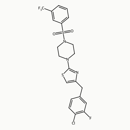 O=S(=O)(c1cccc(C(F)(F)F)c1)N1CCN(c2nc(Cc3ccc(Cl)c(F)c3)cs2)CC1